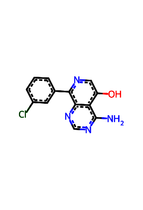 Nc1ncnc2c(-c3cccc(Cl)c3)ncc(O)c12